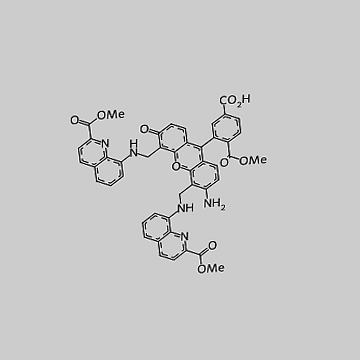 COC(=O)c1ccc2cccc(NCc3c4oc5c(CNc6cccc7ccc(C(=O)OC)nc67)c(N)ccc5c(-c5cc(C(=O)O)ccc5C(=O)OC)c-4ccc3=O)c2n1